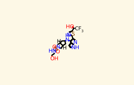 O=S(=O)(NCCO)N1C[C@H]2CC(Nc3c(-c4ncc(C(O)C(F)(F)F)s4)cnc4[nH]ccc34)C[C@H]2C1